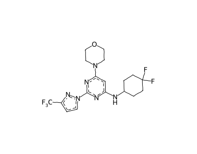 FC1(F)CCC(Nc2cc(N3CCOCC3)nc(-n3ccc(C(F)(F)F)n3)n2)CC1